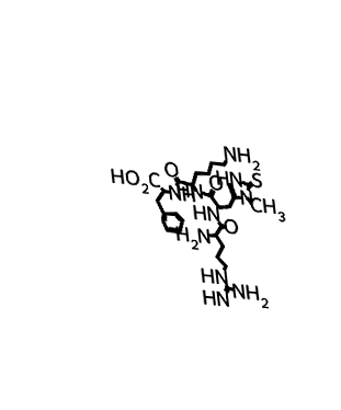 Cn1c(CC(NC(=O)C(N)CCCNC(=N)N)C(=O)NC(CCCCN)C(=O)NC(Cc2ccccc2)C(=O)O)c[nH]c1=S